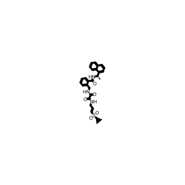 C[C@@H](NC(=O)c1ccccc1CNC(=O)C(=O)NC/C=C/S(=O)(=O)C1CC1)c1cccc2ccccc12